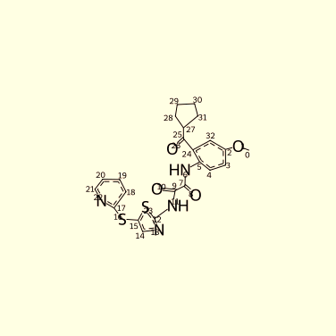 COc1ccc(NC(=O)C(=O)Nc2ncc(Sc3ccccn3)s2)c(C(=O)C2CCCC2)c1